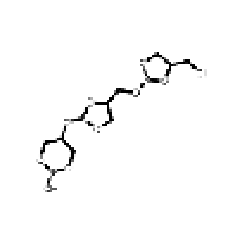 OCC1COB(OCC2COB(OC3COB(O)OC3)O2)O1